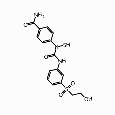 NC(=O)c1ccc(N(S)C(=O)Nc2cccc(S(=O)(=O)CCO)c2)cc1